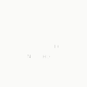 CCC#N.CCO